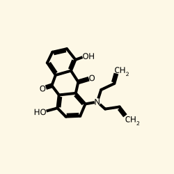 C=CCN(CC=C)c1ccc(O)c2c1C(=O)c1c(O)cccc1C2=O